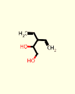 C=CC(C=C)C(O)CO